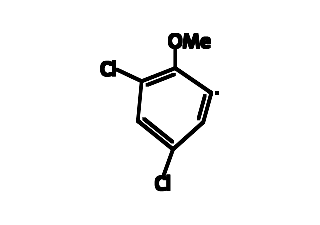 COc1[c]cc(Cl)cc1Cl